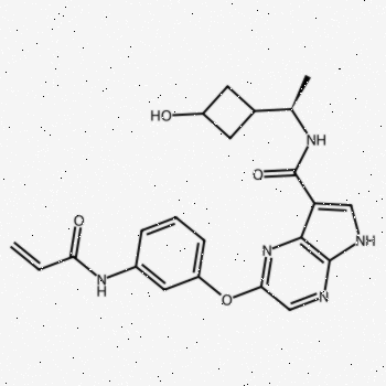 C=CC(=O)Nc1cccc(Oc2cnc3[nH]cc(C(=O)N[C@H](C)C4CC(O)C4)c3n2)c1